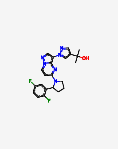 CC(C)(O)c1cnn(-c2cnn3ccc(N4CCCC4c4cc(F)ccc4F)nc23)c1